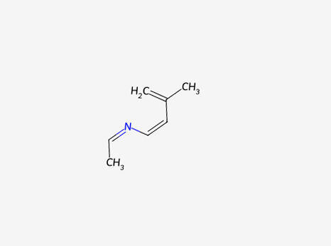 C=C(C)/C=C\N=C/C